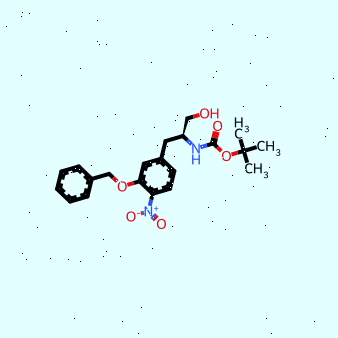 CC(C)(C)OC(=O)N[C@H](CO)Cc1ccc([N+](=O)[O-])c(OCc2ccccc2)c1